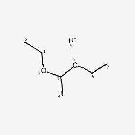 CCOC(C)OCC.[H+]